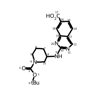 CC(C)(C)OC(=O)N1CCCC(Nc2ncc3ccc(C(=O)O)cc3n2)C1